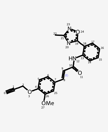 C#CCOc1ccc(/C=C/C(=O)Nc2ccccc2-c2nc(C)no2)cc1OC